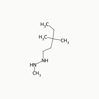 CCC(C)(C)CCNNC